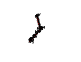 NCN[C@@H](CCCCNC(=O)COCCOCCNC(=O)CCC(NC(=O)CCCCCCCCCCCCCCCCCCC(=O)O)C(=O)O)C(=O)O